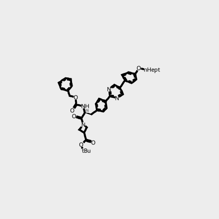 CCCCCCCOc1ccc(-c2cnc(-c3ccc(C[C@H](NC(=O)OCc4ccccc4)C(=O)N4CC(C(=O)OC(C)(C)C)C4)cc3)nc2)cc1